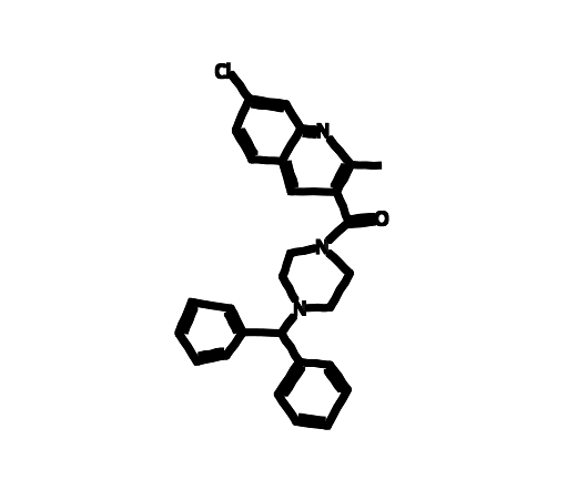 Cc1nc2cc(Cl)ccc2cc1C(=O)N1CCN(C(c2ccccc2)c2ccccc2)CC1